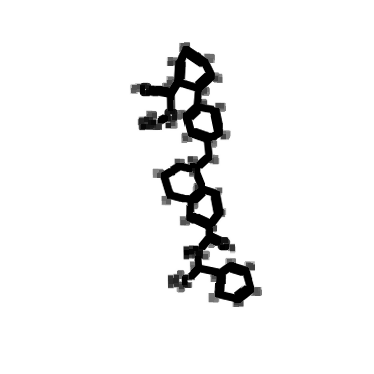 CC(NC(=O)c1ccc2c(c1)CCCN2Cc1ccc(-c2ccccc2C(=O)OC(C)(C)C)cc1)c1ccccc1